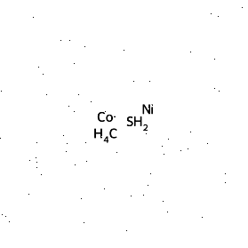 C.S.[Co].[Ni]